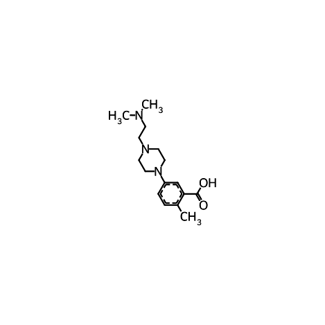 Cc1ccc(N2CCN(CCN(C)C)CC2)cc1C(=O)O